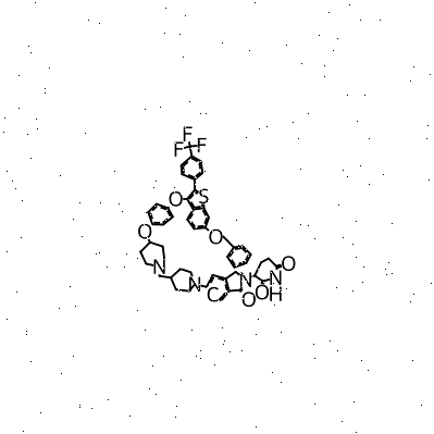 O=C1CCC(N2Cc3cc(N4CCC(CN5CCC(Oc6ccc(Oc7c(-c8ccc(C(F)(F)F)cc8)sc8cc(OCc9ccccc9)ccc78)cc6)CC5)CC4)ccc3C2=O)C(=O)N1